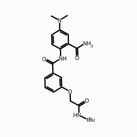 CN(C)c1ccc(NC(=O)c2cccc(OCC(=O)NC(C)(C)C)c2)c(C(N)=O)c1